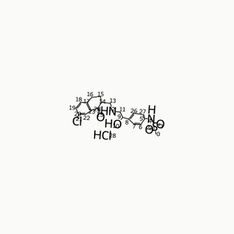 CS(=O)(=O)Nc1ccc(C(O)CNCC2CCc3ccc(Cl)cc3C2=O)cc1.Cl